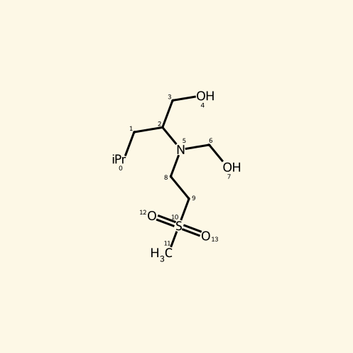 CC(C)CC(CO)N(CO)CCS(C)(=O)=O